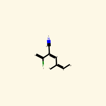 C=C(F)/C(C#N)=C\C(C)=C/C